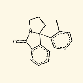 Cc1ccccc1C12CCCN1C(=O)c1ccccc12